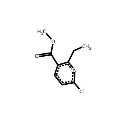 CCc1nc(Cl)ccc1C(=O)OC